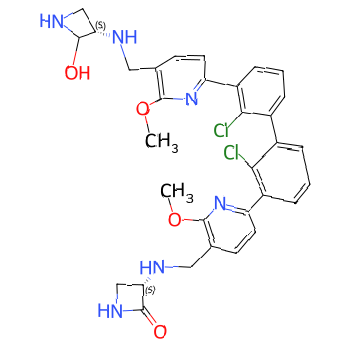 COc1nc(-c2cccc(-c3cccc(-c4ccc(CN[C@H]5CNC5O)c(OC)n4)c3Cl)c2Cl)ccc1CN[C@H]1CNC1=O